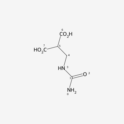 NC(=O)NCC(C(=O)O)C(=O)O